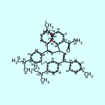 Cc1ccc(C(=CC(C=C(c2ccc(C)cc2)c2ccc(N(C)C)cc2)c2cc(C)ccc2C(N)=O)c2ccc(N(C)C)cc2)cc1